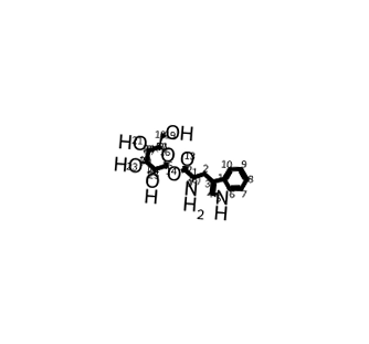 N[C@@H](Cc1c[nH]c2ccccc12)C(=O)OC1O[C@H](CO)[C@@H](O)[C@H](O)[C@@H]1O